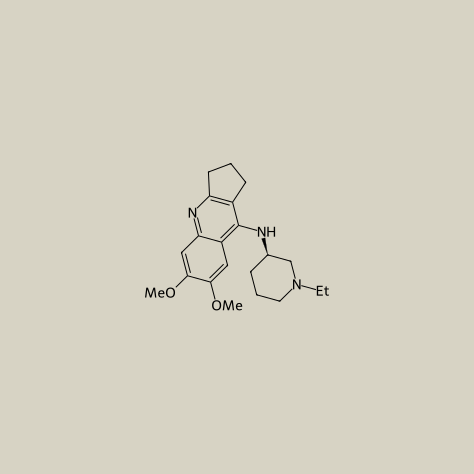 CCN1CCC[C@@H](Nc2c3c(nc4cc(OC)c(OC)cc24)CCC3)C1